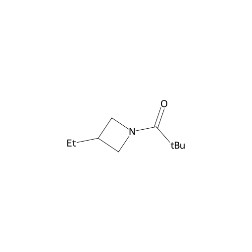 CCC1CN(C(=O)C(C)(C)C)C1